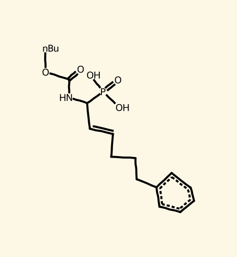 CCCCOC(=O)NC(/C=C/CCCc1ccccc1)P(=O)(O)O